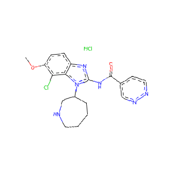 COc1ccc2nc(NC(=O)c3ccnnc3)n(C3CCCCNC3)c2c1Cl.Cl